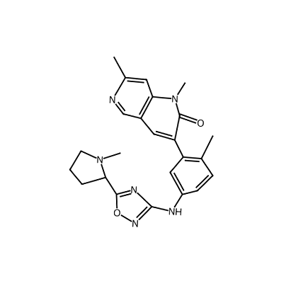 Cc1cc2c(cn1)cc(-c1cc(Nc3noc(C4CCCN4C)n3)ccc1C)c(=O)n2C